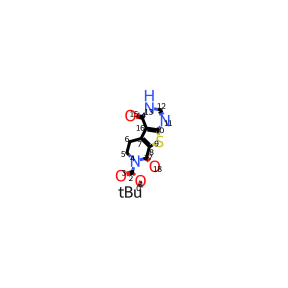 CC(C)(C)OC(=O)N1CCc2c(sc3nc[nH]c(=O)c23)C1=O